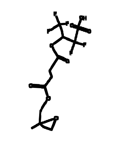 CC1(COC(=O)CCC(=O)OC(C(F)(F)F)C(F)(F)S(=O)(=O)O)CO1